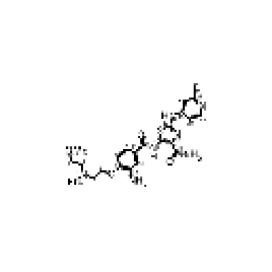 CCN(CCOC)CCOc1ccc(C(=O)Nc2sc(Nc3ccnc(F)c3)nc2C(N)=O)cc1N